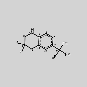 CC1(C)CNc2ccc(C(F)(F)F)cc2C1